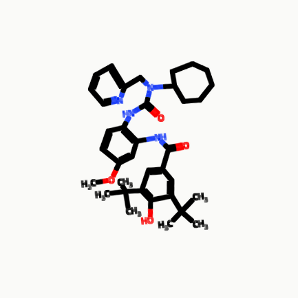 COc1ccc(NC(=O)N(Cc2ccccn2)C2CCCCCC2)c(NC(=O)c2cc(C(C)(C)C)c(O)c(C(C)(C)C)c2)c1